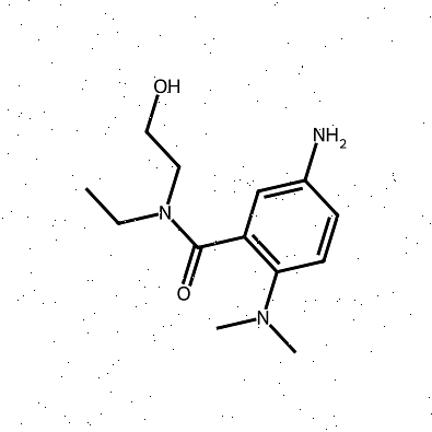 CCN(CCO)C(=O)c1cc(N)ccc1N(C)C